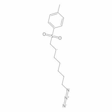 Cc1ccc(S(=O)(=O)C[CH]CCCCCN=[N+]=[N-])cc1